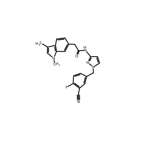 Cc1cn(C)c2cc(CC(=O)Nc3ccn(Cc4ccc(F)c(C#N)c4)n3)ccc12